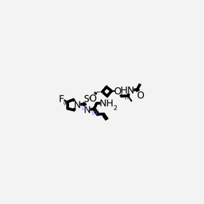 C=C/C=C(CN)/N=C(\SOC[C@H]1C[C@H](OC[C@H](C)NC(C)=O)C1)N1CC[C@@H](F)C1